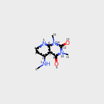 CNc1ccnc2c1c(=O)n(C)c(=O)n2C